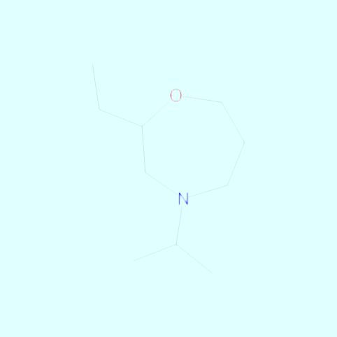 CCC1CN(C(C)C)CCCO1